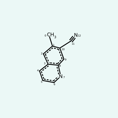 Cc1cc2cccnc2cc1C#N